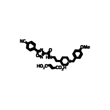 COc1ccc(CN2CCC(CCNC(=O)c3noc(-c4ccc(C#N)cc4)n3)CC2)cc1.O=C(O)C=CC(=O)O